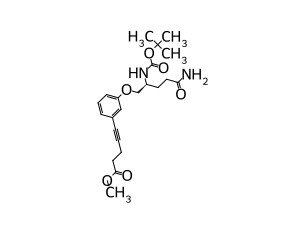 COC(=O)CCC#Cc1cccc(OC[C@H](CCC(N)=O)NC(=O)OC(C)(C)C)c1